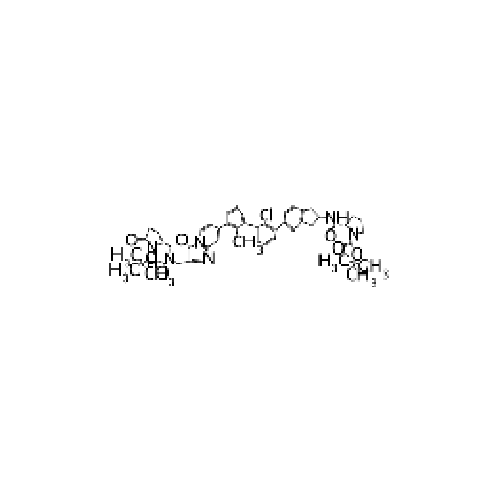 Cc1c(-c2ccn3c(=O)c(CN(C[C@@H]4CCC(=O)N4)C(=O)OC(C)(C)C)cnc3c2)cccc1-c1cccc(-c2ccc3c(c2)CC(NC(=O)[C@@H]2CCCN2C(=O)OC(C)(C)C)C3)c1Cl